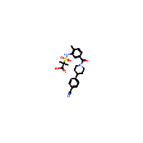 Cc1ccc(C(=O)N2CCC(c3ccc(C#N)cc3)CC2)cc1NS(=O)(=O)C(C)(C)C(=O)O